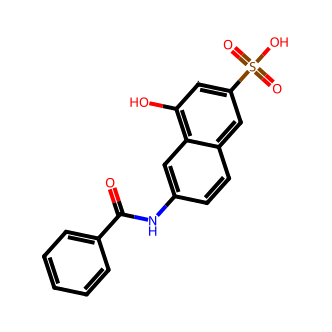 O=C(Nc1ccc2cc(S(=O)(=O)O)[c]c(O)c2c1)c1ccccc1